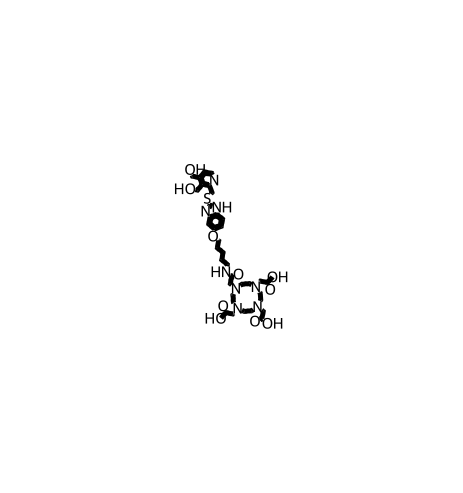 O=C(O)CN1CCN(CC(=O)O)CCN(CC(=O)NCCCCCOc2ccc3[nH]c(SCc4nccc(CO)c4CO)nc3c2)CCN(CC(=O)O)CC1